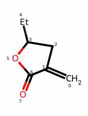 C=C1CC(CC)OC1=O